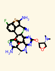 C[C@H](c1cccnc1N)N(C)c1nc(O[C@H]2COC[C@H]2N(C)C)nc2c(F)c(-c3ccc(F)c4sc(N)c(C#N)c34)c(Cl)cc12